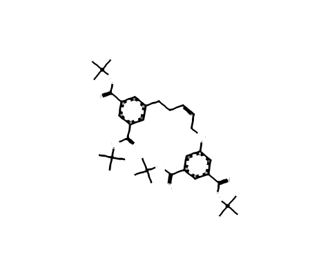 CC(C)(C)OC(=O)c1cc(CC/C=C\COc2cc(C(=O)OC(C)(C)C)cc(C(=O)OC(C)(C)C)c2)cc(C(=O)OC(C)(C)C)c1